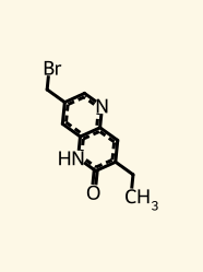 CCc1cc2ncc(CBr)cc2[nH]c1=O